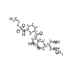 CCCS(=O)(=O)Nc1cccc(C(=O)c2c[nH]c3ncc(/C(C=N)=C/NC)cc23)c1